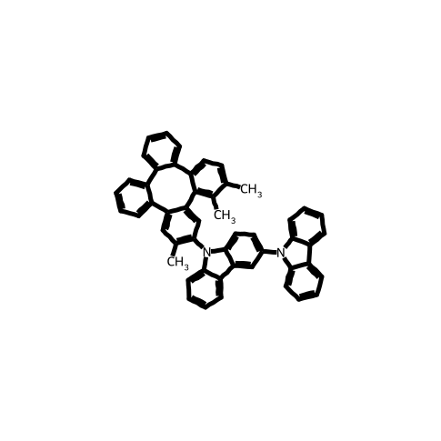 Cc1cc2c(cc1-n1c3ccccc3c3cc(-n4c5ccccc5c5ccccc54)ccc31)-c1c(ccc(C)c1C)-c1ccccc1-c1ccccc1-2